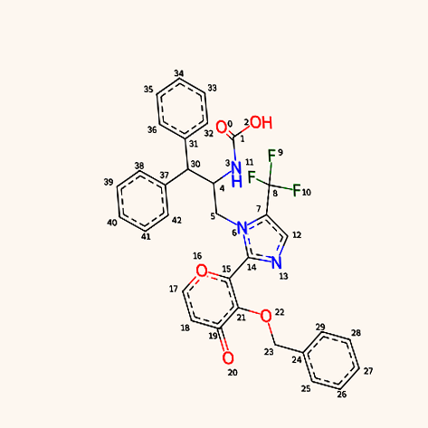 O=C(O)NC(Cn1c(C(F)(F)F)cnc1-c1occc(=O)c1OCc1ccccc1)C(c1ccccc1)c1ccccc1